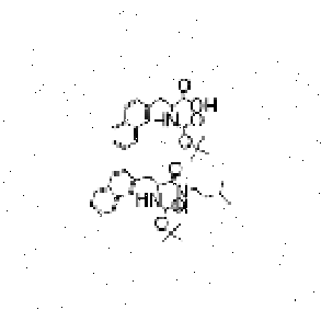 CC(C)(C)OC(=O)N[C@@H](Cc1ccc2ccccc2c1)C(=O)O.CC(C)CCNC(=O)[C@H](Cc1ccc2ccccc2c1)NC(=O)OC(C)(C)C